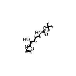 CC(C)(C)OC(=O)NCCC[C@H](O)c1ncco1